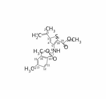 C=C(C)c1cc(NS(=O)(=O)c2ccc(C)cc2C)c(C(=O)OC)s1